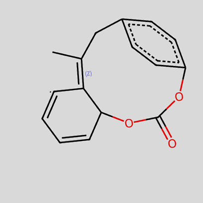 C/C1=C2\[C]=CC=CC2OC(=O)Oc2ccc(cc2)C1